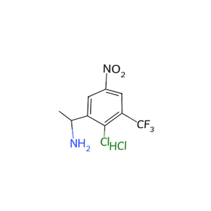 CC(N)c1cc([N+](=O)[O-])cc(C(F)(F)F)c1Cl.Cl